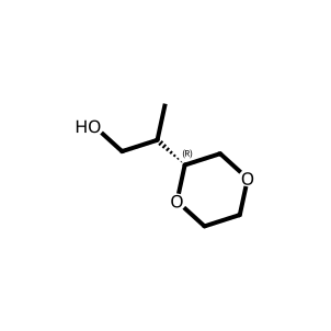 CC(CO)[C@@H]1COCCO1